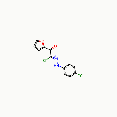 O=C(/C(Cl)=N/Nc1ccc(Cl)cc1)c1ccco1